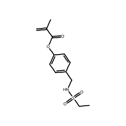 C=C(C)C(=O)Oc1ccc(CNS(=O)(=O)CC)cc1